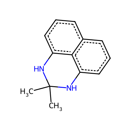 CC1(C)Nc2cccc3cccc(c23)N1